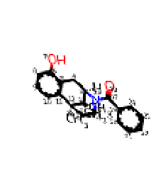 CC1(C)[C@H]2Cc3c(O)cccc3[C@]1(C)CCN2C(=O)c1ccccc1